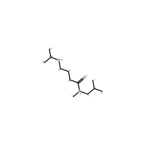 CC(C)CN(C)C(=O)CCCOC(C)C